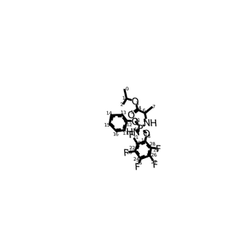 CC(C)OC(=O)C(C)NP(=N)(Oc1ccccc1)Oc1c(F)c(F)c(F)c(F)c1F